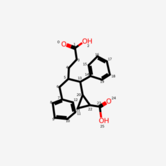 O=C(O)CCC(Cc1ccccc1)C(c1ccccc1)C1CC1C(=O)O